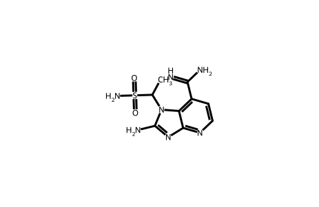 CC(n1c(N)nc2nccc(C(=N)N)c21)S(N)(=O)=O